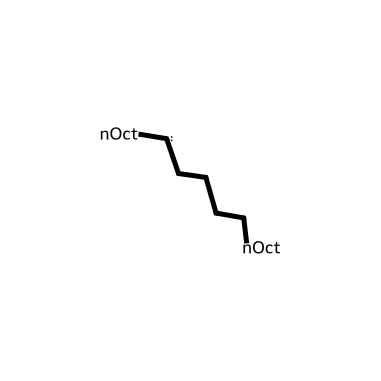 CCCCCCCC[C]CCCCCCCCCCCC